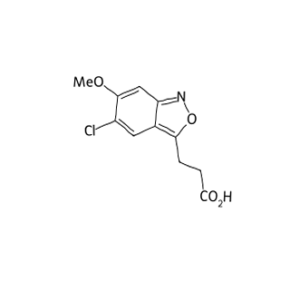 COc1cc2noc(CCC(=O)O)c2cc1Cl